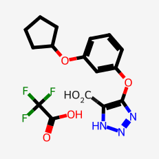 O=C(O)C(F)(F)F.O=C(O)c1[nH]nnc1Oc1cccc(OC2CCCC2)c1